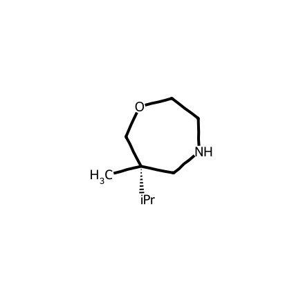 CC(C)[C@@]1(C)CNCCOC1